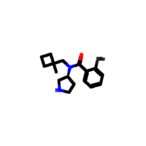 CSc1ccccc1C(=O)N(CC1(C)CCC1)[C@H]1CCNC1